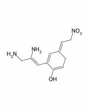 NCC(N)=CC1=CC(=CC[N+](=O)[O-])CC=C1O